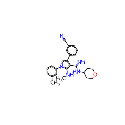 CNc1c(C(=N)NC2CCOCC2)c(-c2cccc(C#N)c2)cn1-c1cccc(C)c1